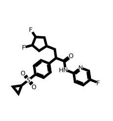 O=C(Nc1ccc(F)cn1)C(CC1CC(F)C(F)C1)c1ccc(S(=O)(=O)C2CC2)cc1